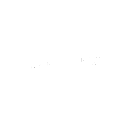 O=C=NCc1ccc(C(CC(=O)O)N=C=O)cc1